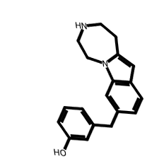 Oc1cccc(Cc2ccc3cc4n(c3c2)CCNCC4)c1